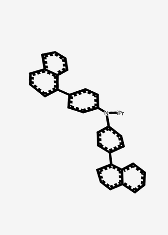 CC(C)N(c1ccc(-c2cccc3ccccc23)cc1)c1ccc(-c2cccc3ccccc23)cc1